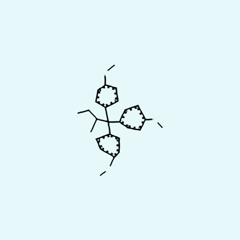 CCC(C)C(c1ccc(OC)cc1)(c1ccc(OC)cc1)c1ccc(OC)cc1